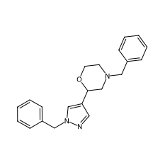 c1ccc(CN2CCOC(c3cnn(Cc4ccccc4)c3)C2)cc1